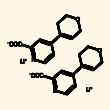 O=C([O-])c1cc(C2=CCOCC2)ccn1.O=C([O-])c1cc(C2=CCOCC2)ccn1.[Li+].[Li+]